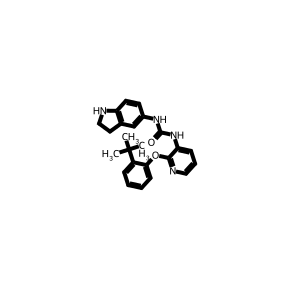 CC(C)(C)c1ccccc1Oc1ncccc1NC(=O)Nc1ccc2c(c1)CCN2